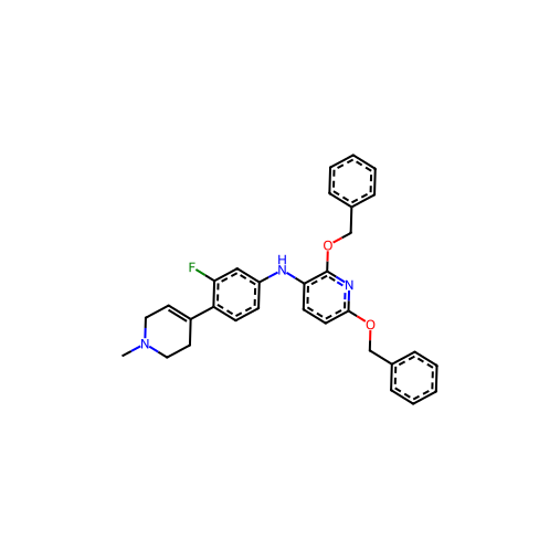 CN1CC=C(c2ccc(Nc3ccc(OCc4ccccc4)nc3OCc3ccccc3)cc2F)CC1